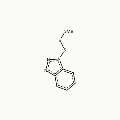 CSSSn1nnc2ccccc21